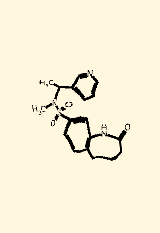 CC(c1cccnc1)N(C)S(=O)(=O)c1ccc2c(c1)NC(=O)CCC2